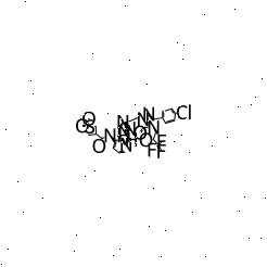 O=C(Nc1cccnc1-n1cnc(Cn2nc(-c3ccc(Cl)cc3)n(CC(O)C(F)(F)F)c2=O)n1)C1CS(=O)(=O)C1